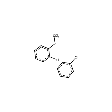 Clc1ccccc1.Clc1ccccc1CC(Cl)(Cl)Cl